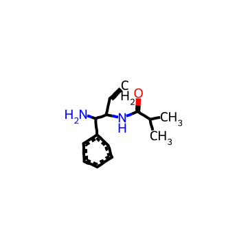 C=CC(NC(=O)C(C)C)C(N)c1ccccc1